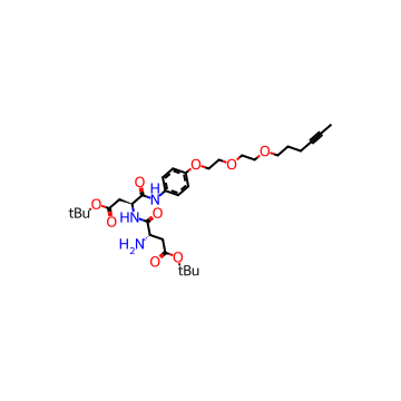 CC#CCCCOCCOCCOc1ccc(NC(=O)[C@H](CC(=O)OC(C)(C)C)NC(=O)[C@@H](N)CC(=O)OC(C)(C)C)cc1